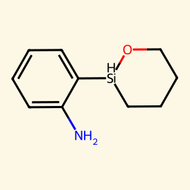 Nc1ccccc1[SiH]1CCCCO1